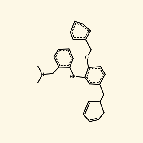 CN(C)Cc1ccccc1Pc1cc(CC2C=CC=CC2)ccc1OCc1ccccc1